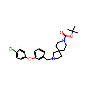 CC(C)(C)OC(=O)N1CCC2(CCN(Cc3cccc(Oc4ccc(Cl)cc4)c3)C2)CC1